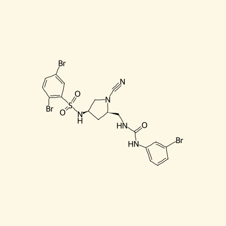 N#CN1C[C@H](NS(=O)(=O)c2cc(Br)ccc2Br)C[C@@H]1CNC(=O)Nc1cccc(Br)c1